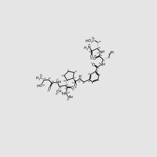 CC(C)C[C@H](NC(=O)c1cccc(CNC(=O)[C@@H]2CCCN2[C@H](C(=O)NC(C)(C)C)[C@H](C)NC(=O)C[C@@H](C)O)c1)C(=O)N[C@@H](CC(=O)O)C(N)=O